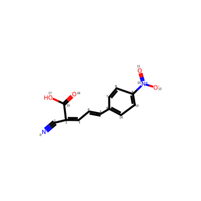 N#CC(=CC=Cc1ccc([N+](=O)[O-])cc1)C(=O)O